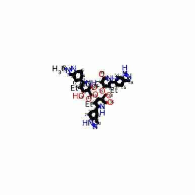 CCc1c(-c2ccc3nn(C)cc3c2)[nH]c(=O)c(C(=O)Oc2c(CC)c(-c3ccc4[nH]ncc4c3)[nH]c(=O)c2C(=O)Oc2c(CC)c(-c3ccc4cn[nH]c4c3)[nH]c(=O)c2C(=O)O)c1O